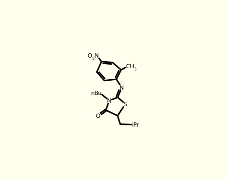 CCCCN1C(=O)C(CC(C)C)SC1=Nc1ccc([N+](=O)[O-])cc1C